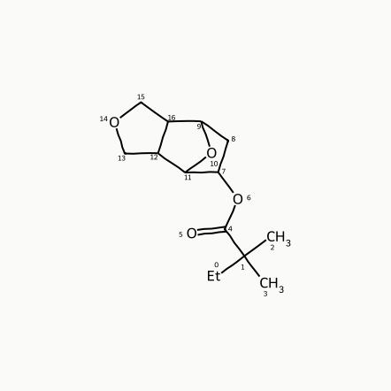 CCC(C)(C)C(=O)OC1CC2OC1C1COCC21